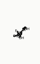 COCCOc1cc(OCCF)cc(C(CC(=O)O)CN2CCC(CCc3ccc4c(n3)NCCC4)C2)c1